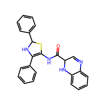 O=C(NC1=C(c2ccccc2)NC(c2ccccc2)S1)C1C=Nc2ccccc2N1